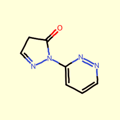 O=C1CC=NN1c1cccnn1